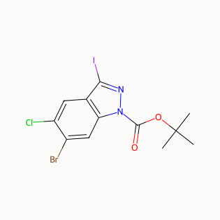 CC(C)(C)OC(=O)n1nc(I)c2cc(Cl)c(Br)cc21